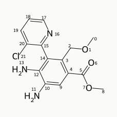 COCc1c(C(=O)OC)cc(N)c(N)c1-c1ncccc1Cl